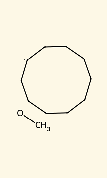 C[O].[CH]1CCCCCCCCC1